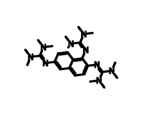 CN(C)C(=Nc1ccc2c(N=C(N(C)C)N(C)C)c(N=C(N(C)C)N(C)C)ccc2c1)N(C)C